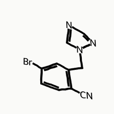 N#Cc1ccc(Br)cc1Cn1cncn1